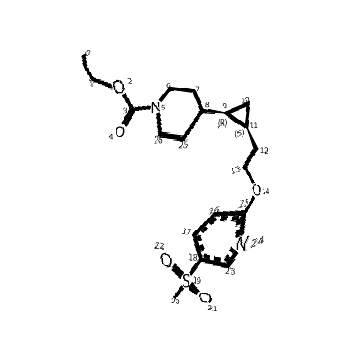 CCOC(=O)N1CCC([C@H]2C[C@H]2CCOc2ccc(S(C)(=O)=O)cn2)CC1